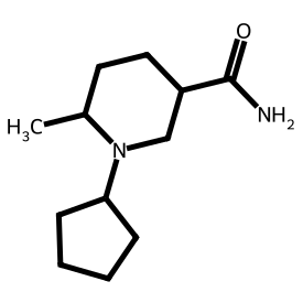 CC1CCC(C(N)=O)CN1C1CCCC1